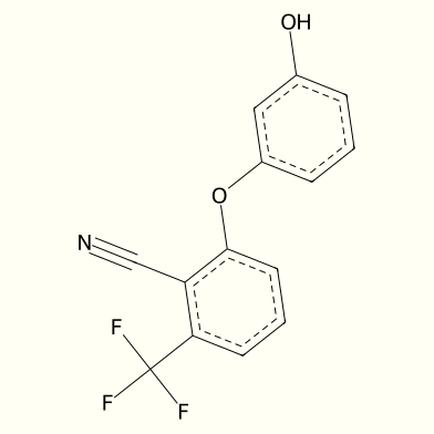 N#Cc1c(Oc2cccc(O)c2)cccc1C(F)(F)F